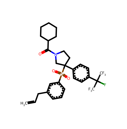 C=CCc1cccc(S(=O)(=O)C2(c3ccc(C(F)(C(F)(F)F)C(F)(F)F)cc3)CCN(C(=O)C3CCCCC3)C2)c1